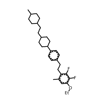 CCOc1cc(C)c(CCc2ccc(C3CCC(CCC4CCC(C)CC4)CC3)cc2)c(F)c1F